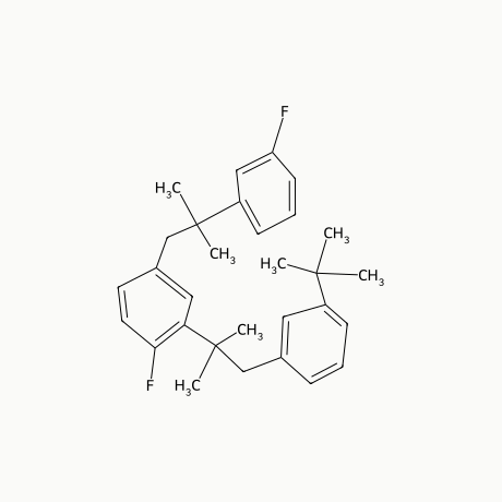 CC(C)(C)c1cccc(CC(C)(C)c2cc(CC(C)(C)c3cccc(F)c3)ccc2F)c1